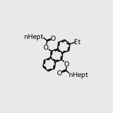 CCCCCCCC(=O)Oc1c2ccccc2c(OC(=O)CCCCCCC)c2cc(CC)ccc12